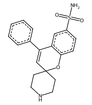 NS(=O)(=O)c1ccc2c(c1)C(c1ccccc1)=CC1(CCNCC1)O2